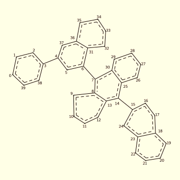 c1ccc(-c2cc(-c3c4ccccc4c(-c4ccc5ccccc5c4)c4ccccc34)c3ccccc3c2)cc1